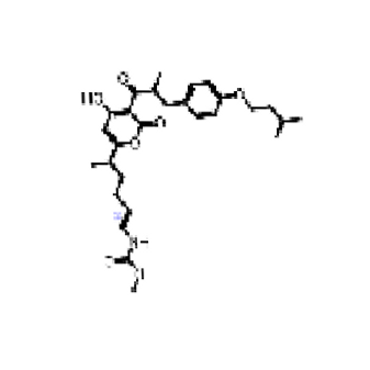 COC(=O)N/C=C/CCC(C)c1cc(O)c(C(=O)C(C)Cc2ccc(OCCC(C)C)cc2)c(=O)o1